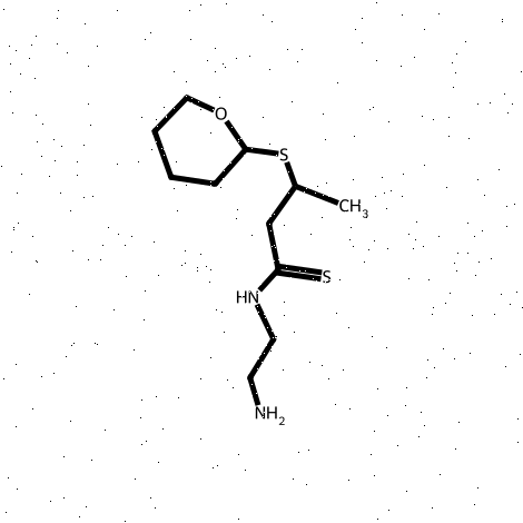 CC(CC(=S)NCCN)SC1CCCCO1